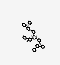 c1ccc(-c2ccc3c(c2)c2ccccc2n3-c2cccc(-c3nc(-c4cccc(-c5ccc6c7ccccc7n(-c7ccccc7)c6c5)c4)nc(-c4ccc5oc6ccccc6c5c4)n3)c2)cc1